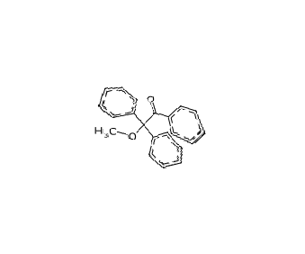 COC(C(=O)c1ccccc1)(c1ccccc1)c1ccccc1